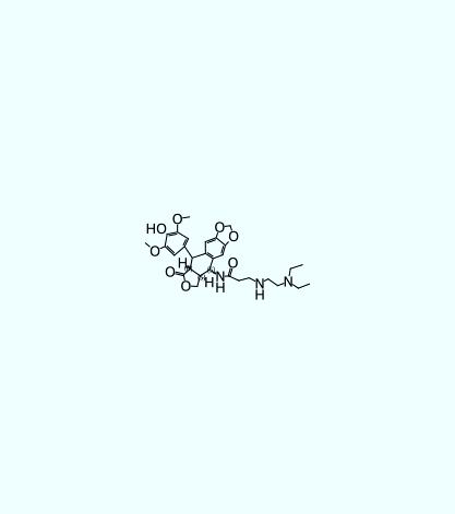 CCN(CC)CCNCCC(=O)N[C@@H]1c2cc3c(cc2C(c2cc(OC)c(O)c(OC)c2)[C@H]2C(=O)OC[C@H]12)OCO3